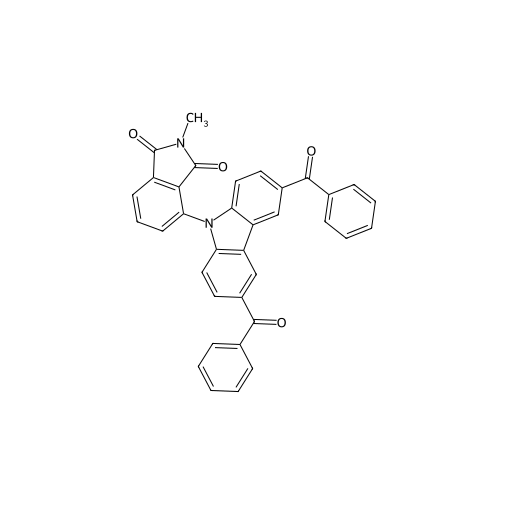 CN1C(=O)c2cccc(-n3c4ccc(C(=O)c5ccccc5)cc4c4cc(C(=O)c5ccccc5)ccc43)c2C1=O